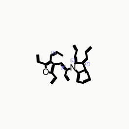 C=C/C=c1\c(=C/C=C)n(/C(C=C)=C/c2c(C=C)oc(C=C)c2/C=C\C)c2ccccc12